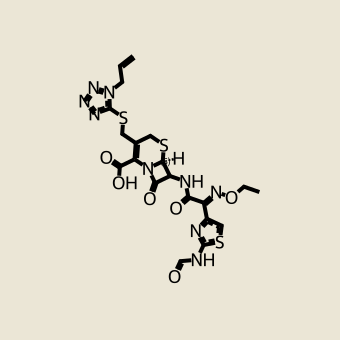 C=CCn1nnnc1SCC1=C(C(=O)O)N2C(=O)C(NC(=O)C(=NOCC)c3csc(NC=O)n3)[C@@H]2SC1